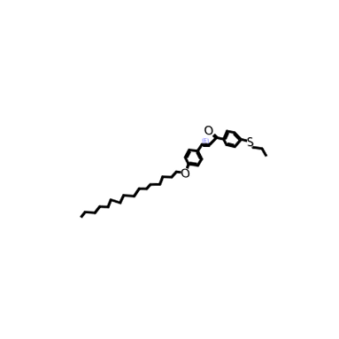 CCCCCCCCCCCCCCCCOc1ccc(/C=C/C(=O)c2ccc(SCCC)cc2)cc1